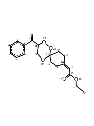 C=C(c1ccccc1)C1COC2(CCC(=CC(=O)OCC)CC2)OO1